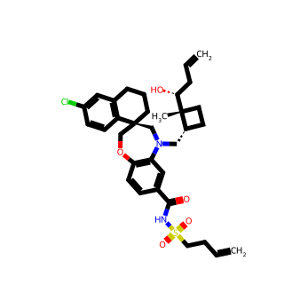 C=CCCS(=O)(=O)NC(=O)c1ccc2c(c1)N(C[C@H]1CC[C@@]1(C)[C@H](O)CC=C)C[C@@]1(CCCc3cc(Cl)ccc31)CO2